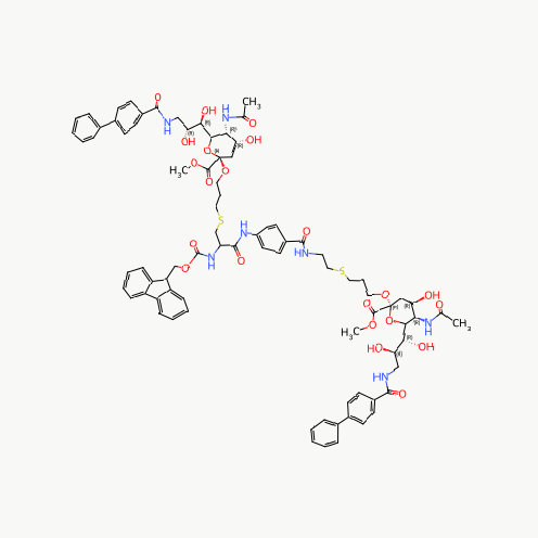 COC(=O)[C@@]1(OCCCSCCNC(=O)c2ccc(NC(=O)C(CSCCCO[C@]3(C(=O)OC)C[C@@H](O)[C@@H](NC(C)=O)C([C@H](O)[C@H](O)CNC(=O)c4ccc(-c5ccccc5)cc4)O3)NC(=O)OCC3c4ccccc4-c4ccccc43)cc2)C[C@@H](O)[C@@H](NC(C)=O)C([C@H](O)[C@H](O)CNC(=O)c2ccc(-c3ccccc3)cc2)O1